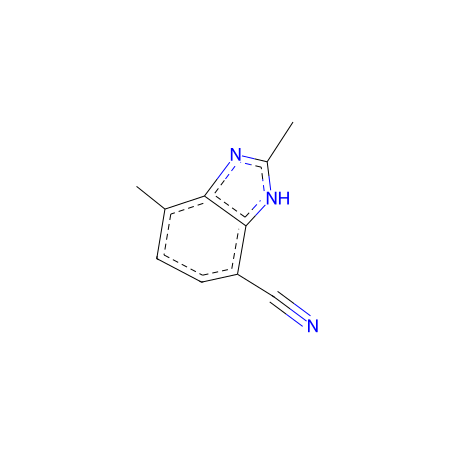 Cc1nc2c(C)ccc(C#N)c2[nH]1